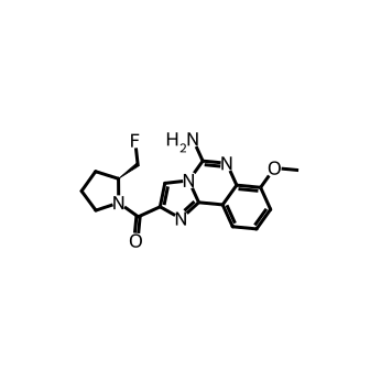 COc1cccc2c1nc(N)n1cc(C(=O)N3CCC[C@H]3CF)nc21